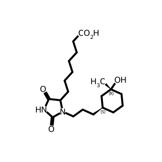 C[C@@]1(O)CCC[C@@H](CCCN2C(=O)NC(=O)C2CCCCCCC(=O)O)C1